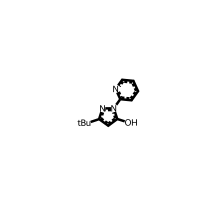 CC(C)(C)c1cc(O)n(-c2ccccn2)n1